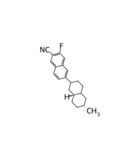 C[C@@H]1CC[C@@H]2CC(c3ccc4cc(C#N)c(F)cc4c3)CCC2C1